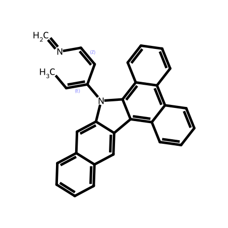 C=N/C=C\C(=C/C)n1c2cc3ccccc3cc2c2c3ccccc3c3ccccc3c21